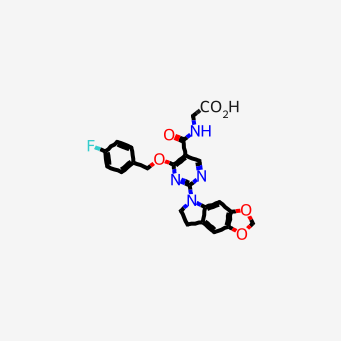 O=C(O)CNC(=O)c1cnc(N2CCc3cc4c(cc32)OCO4)nc1OCc1ccc(F)cc1